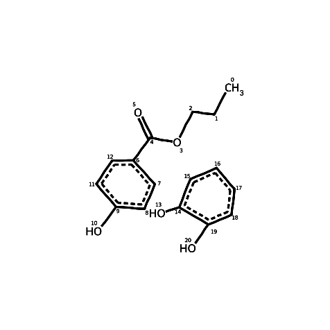 CCCOC(=O)c1ccc(O)cc1.Oc1ccccc1O